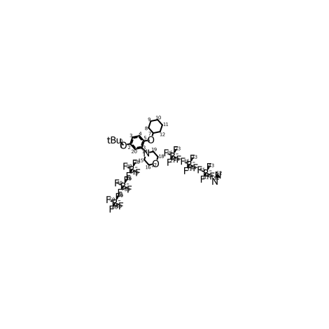 CC(C)(C)Oc1ccc(OC2CCCCC2)c(N2CCOCC2)c1.F[B-](F)(F)F.F[B-](F)(F)F.F[B-](F)(F)F.F[B-](F)(F)F.F[B-](F)(F)F.F[B-](F)(F)F.N#N